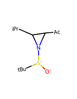 CC(=O)C1C(C(C)C)N1[S+]([O-])C(C)(C)C